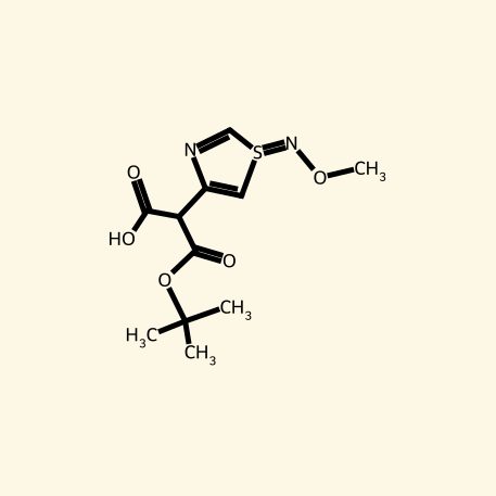 CON=S1C=NC(C(C(=O)O)C(=O)OC(C)(C)C)=C1